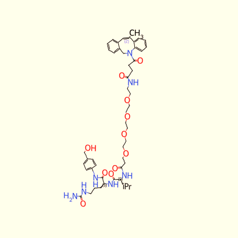 C/C1=C/c2ccccc2CN(C(=O)CCC(=O)NCCOCCOCCOCCOCCC(=O)N[C@H](C(=O)N[C@@H](CCCNC(N)=O)C(=O)Nc2ccc(CO)cc2)C(C)C)c2ccccc21